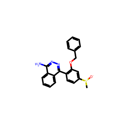 C[S+]([O-])c1ccc(-c2nnc(N)c3ccccc23)c(OCc2ccccc2)c1